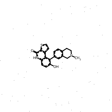 CN1CCc2ccc(-c3c(O)ccc4[nH]c(=O)c5sccc5c34)cc2C1